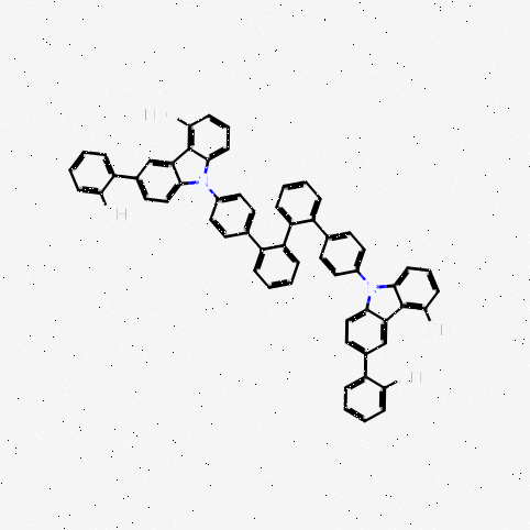 Cc1ccccc1-c1ccc2c(c1)c1c(C)cccc1n2-c1ccc(-c2ccccc2-c2ccccc2-c2ccc(-n3c4ccc(-c5ccccc5C)cc4c4c(C)cccc43)cc2)cc1